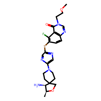 COCCn1cnc2ccc(Sc3cnc(N4CCC5(CC4)CO[C@@H](C)[C@H]5N)cn3)c(F)c2c1=O